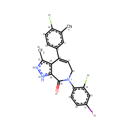 N#Cc1cc(C2=CCN(c3ccc(I)cc3F)C(=O)c3[nH]nc(C(F)(F)F)c32)ccc1F